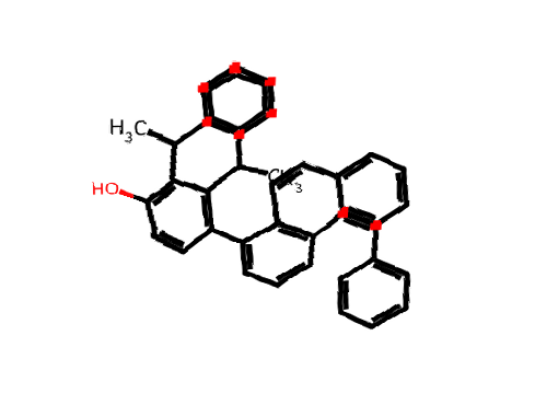 CC(c1ccccc1)c1c(O)ccc(-c2cccc(C=Cc3ccccc3)c2C=Cc2ccccc2)c1C(C)c1ccccc1